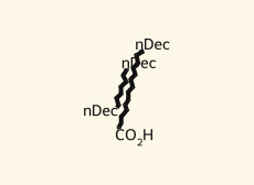 CCCCCCCCCCCCCCCCCCCCCCCCC(=O)O.CCCCCCCCCCCCCCCCCCCCCCCCCCC